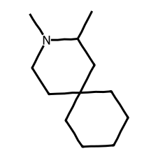 CC1CC2(CCCCC2)CCN1C